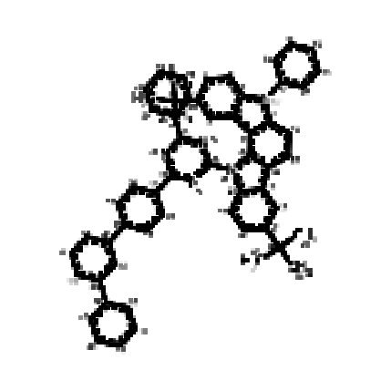 CC(C)(C)c1ccc2c(c1)c1c(ccc3c4cc(C(C)(C)C)ccc4n(-c4nc(-c5ccccc5)nc(-c5ccc(-c6cccc(-c7ccccc7)c6)cc5)n4)c31)n2-c1ccccc1